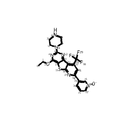 CCOc1nc(N2CCNCC2)nc2c1sc1nc(-c3ccc[n+]([O-])c3)cc(C(F)(F)F)c12